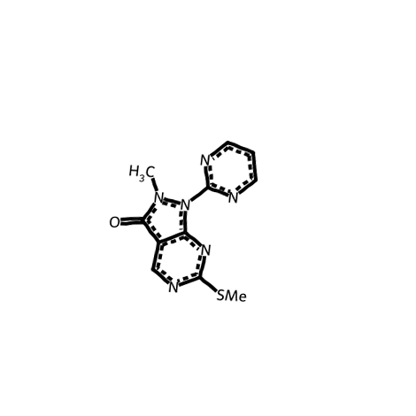 CSc1ncc2c(=O)n(C)n(-c3ncccn3)c2n1